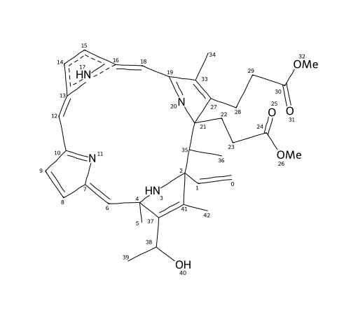 C=CC12NC(C)(/C=C3/C=CC(=N3)/C=c3/cc/c([nH]3)=C/C3=NC(CCC(=O)OC)(C(CCC(=O)OC)=C3C)C1C)C(C(C)O)=C2C